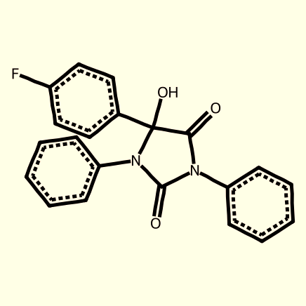 O=C1N(c2ccccc2)C(=O)C(O)(c2ccc(F)cc2)N1c1ccccc1